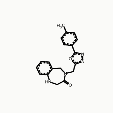 Cc1ccc(-c2nnc(CN3Cc4ccccc4NCC3=O)o2)cc1